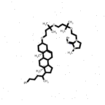 CC(C)CCCC(C)C1CCC2C3CC=C4CC(OCCC(C)(C)OCCC(C)(C)OCCN5CCN(C)/C5=N/C(C)C)CC[C@]4(C)C3CC[C@]12C